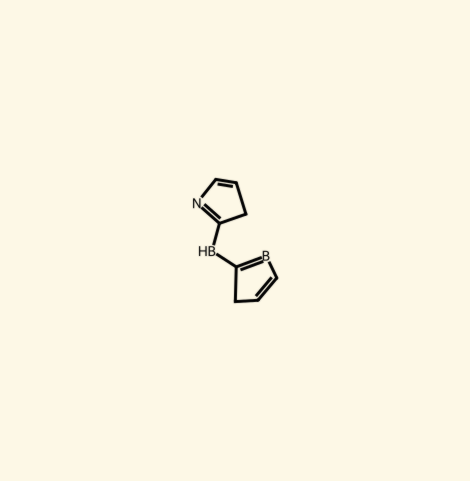 B1=C(BC2=NC=CC2)CC=C1